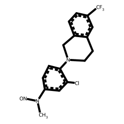 CN(N=O)c1ccc(N2CCc3cc(C(F)(F)F)ccc3C2)c(Cl)c1